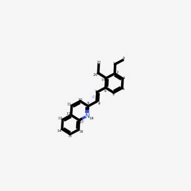 CCc1cccc(/C=C/c2ccc3ccccc3n2)c1CC